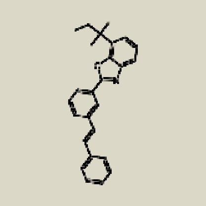 CCC(C)(C)c1cccc2nc(-c3cccc(C=Cc4ccccc4)c3)oc12